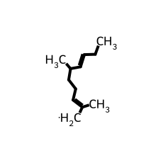 [CH2]C(C)=CCCC(C)C=CCC